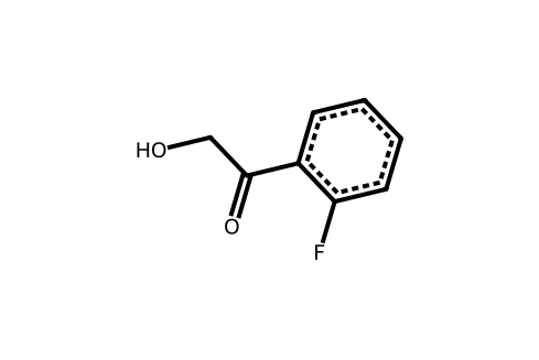 O=C(CO)c1ccccc1F